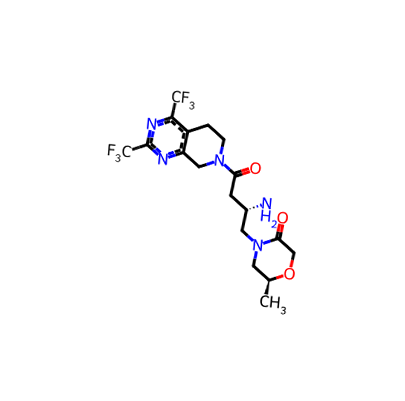 C[C@H]1CN(C[C@@H](N)CC(=O)N2CCc3c(nc(C(F)(F)F)nc3C(F)(F)F)C2)C(=O)CO1